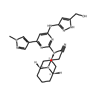 CN(c1nc(Nc2cc(CO)[nH]n2)cc(-c2cnn(C)c2)n1)[C@@H]1C[C@H]2CCC[C@@H](C1)N2CCC#N